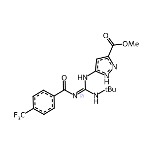 COC(=O)c1cc(N/C(=N\C(=O)c2ccc(C(F)(F)F)cc2)NC(C)(C)C)[nH]n1